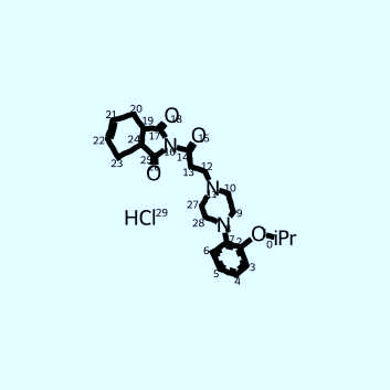 CC(C)Oc1ccccc1N1CCN(CCC(=O)N2C(=O)C3CC=CCC3C2=O)CC1.Cl